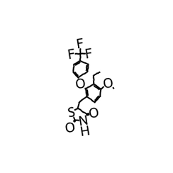 CCc1c(OC)ccc(CC2SC(=O)NC2=O)c1Oc1ccc(C(F)(F)F)cc1